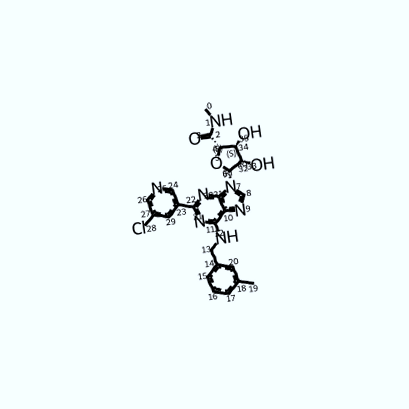 CNC(=O)[C@H]1O[C@@H](n2cnc3c(NCc4cccc(C)c4)nc(-c4cncc(Cl)c4)nc32)[C@H](O)[C@@H]1O